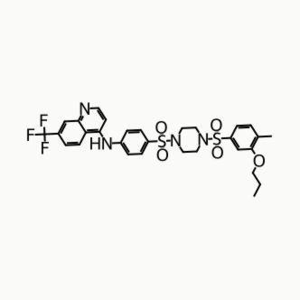 CCCOc1cc(S(=O)(=O)N2CCN(S(=O)(=O)c3ccc(Nc4ccnc5cc(C(F)(F)F)ccc45)cc3)CC2)ccc1C